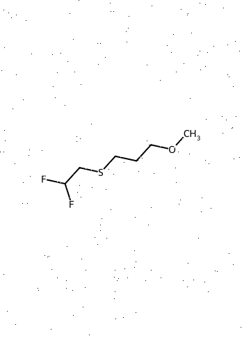 COCCCSCC(F)F